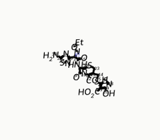 CCO/N=C(/C(=O)NC1C(=O)N2C(C(=O)O)=C(CSc3snc(O)c3C(=O)O)CS[C@H]12)c1nsc(N)n1